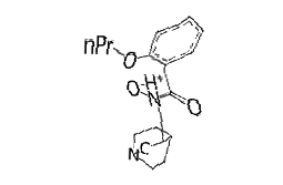 CCCOc1ccccc1C(=O)[NH+]([O-])C1CN2CCC1CC2